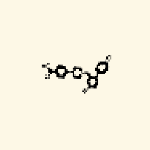 COC(=O)c1ccc(N2CCN(Cc3cc(Br)ccc3-c3ccc(Cl)cc3)CC2)cc1